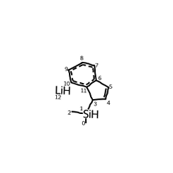 C[SiH](C)C1C=Cc2ccccc21.[LiH]